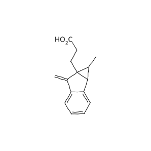 C=C1c2ccccc2C2C(C)C12CCC(=O)O